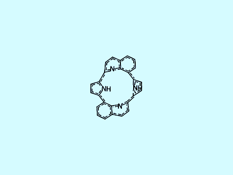 c1cc2ccc3nc2c(c1)c1ccc([nH]1)c1ccc2cccc(c4ccc3[nH]4)c2n1